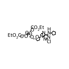 CCOC(=O)OCOP(=O)(COC[C@@H]1CCC(n2cnc3c(NC4CCCC4)nc(Cl)nc32)O1)OCOC(=O)OCC